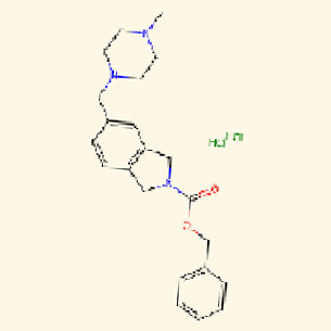 CN1CCN(Cc2ccc3c(c2)CN(C(=O)OCc2ccccc2)C3)CC1.Cl.Cl